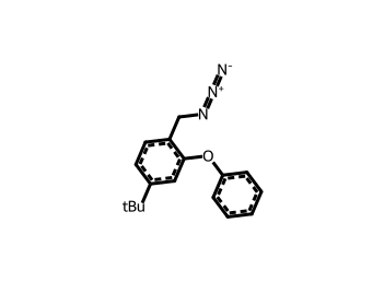 CC(C)(C)c1ccc(CN=[N+]=[N-])c(Oc2ccccc2)c1